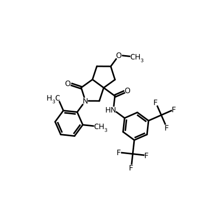 COC1CC2C(=O)N(c3c(C)cccc3C)CC2(C(=O)Nc2cc(C(F)(F)F)cc(C(F)(F)F)c2)C1